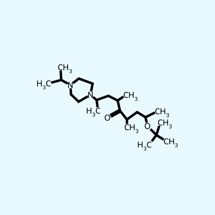 CC(CC(C)C(=O)C(C)CC(C)N1CCN(C(C)C)CC1)OC(C)(C)C